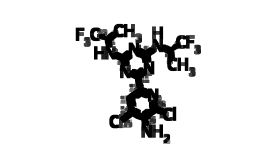 C[C@@H](Nc1nc(N[C@H](C)C(F)(F)F)nc(-c2cc(Cl)c(N)c(Cl)n2)n1)C(F)(F)F